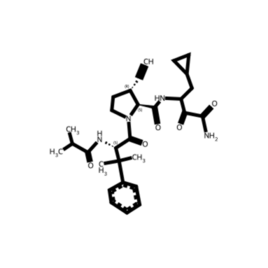 C#C[C@H]1CCN(C(=O)[C@@H](NC(=O)C(C)C)C(C)(C)c2ccccc2)[C@@H]1C(=O)NC(CC1CC1)C(=O)C(N)=O